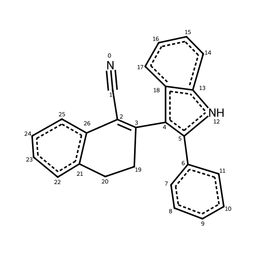 N#CC1=C(c2c(-c3ccccc3)[nH]c3ccccc23)CCc2ccccc21